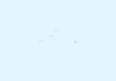 CC(C)(O)[PH](O)(O)O